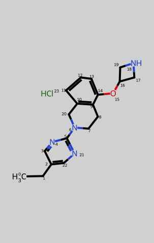 CCc1cnc(N2CCc3c(cccc3OC3CNC3)C2)nc1.Cl